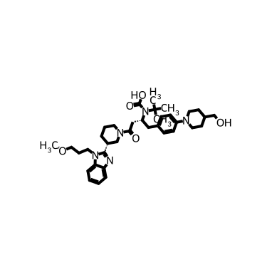 COCCCn1c([C@@H]2CCCN(C(=O)C[C@@H](Cc3ccc(N4CCC(CO)CC4)cc3)N(C(=O)O)C(C)(C)C)C2)nc2ccccc21